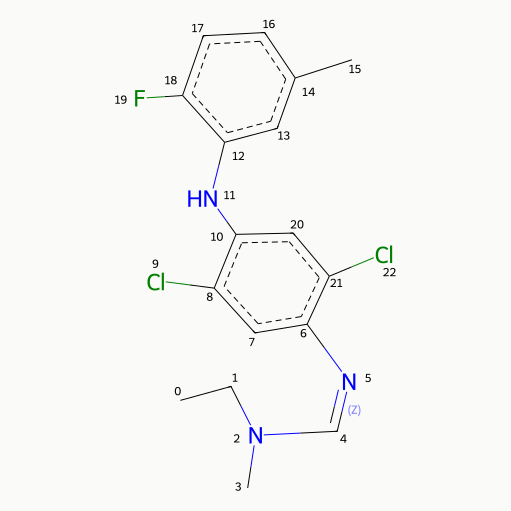 CCN(C)/C=N\c1cc(Cl)c(Nc2cc(C)ccc2F)cc1Cl